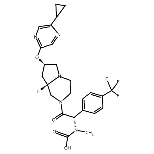 CN(C(=O)O)[C@H](C(=O)N1CCN2C[C@H](Oc3cnc(C4CC4)cn3)C[C@H]2C1)c1ccc(C(F)(F)F)cc1